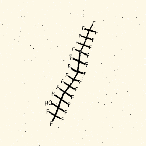 OC(F)(C(F)(F)F)C(F)(F)C(F)(F)C(F)(F)C(F)(F)C(F)(F)C(F)(F)C(F)(F)C(F)(F)C(F)(F)C(F)(F)F